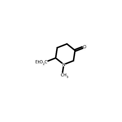 CCOC(=O)C1CCC(=O)CN1C